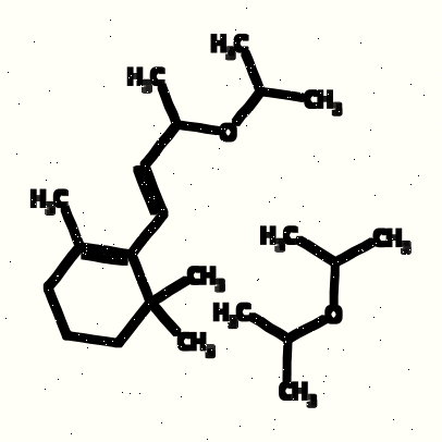 CC(C)OC(C)C.CC1=C(/C=C/C(C)OC(C)C)C(C)(C)CCC1